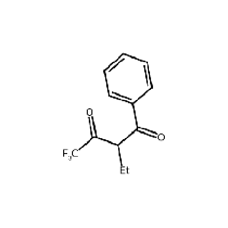 CCC(C(=O)c1ccccc1)C(=O)C(F)(F)F